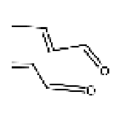 C=CC=O.CC=CC=O